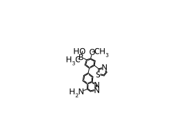 COc1cc(-c2nccs2)c(-c2ccc3c(N)cnnc3c2)cc1B(C)O